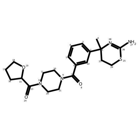 CC1(c2cccc(C(=O)N3CCN(C(=O)C4CCCO4)CC3)c2)CCSC(N)=N1